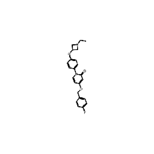 CCN1CC(Oc2ccc(-n3ccc(OCc4ccc(F)cc4)cc3=O)cc2)C1